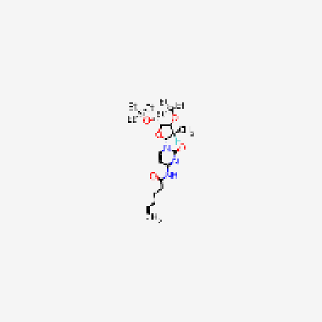 C=CCCCC(=O)Nc1ccn([C@@H]2O[C@H](CO[Si](CC)(CC)CC)C(O[Si](CC)(CC)CC)[C@]2(C)F)c(=O)n1